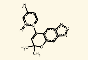 CC1(C)C=C(n2ccc(N)c[n+]2=O)c2cc3nonc3cc2O1